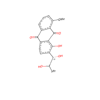 CCCC(O)[C@@H](O)c1ccc2c(c1O)C(=O)c1c(OC)cccc1C2=O